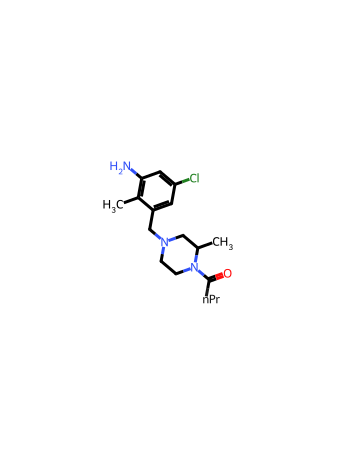 CCCC(=O)N1CCN(Cc2cc(Cl)cc(N)c2C)CC1C